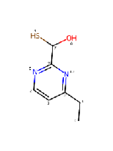 CCc1ccnc(C(O)S)n1